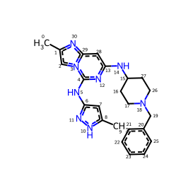 Cc1cn2c(Nc3cc(C)[nH]n3)nc(NC3CCN(Cc4ccccc4)CC3)cc2n1